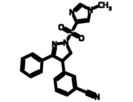 Cn1cnc(S(=O)(=O)N2CC(c3cccc(C#N)c3)C(c3ccccc3)=N2)c1